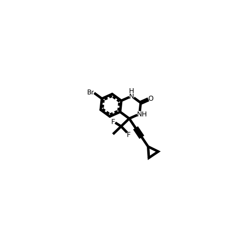 CC(F)(F)C1(C#CC2CC2)NC(=O)Nc2cc(Br)ccc21